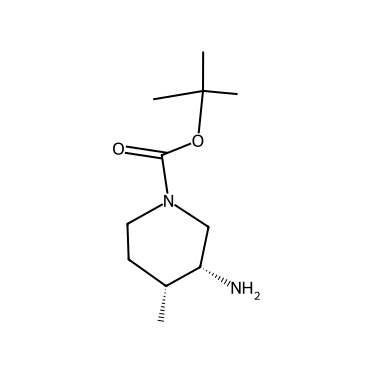 C[C@@H]1CCN(C(=O)OC(C)(C)C)C[C@@H]1N